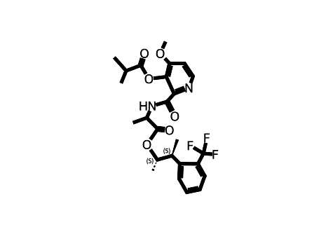 COc1ccnc(C(=O)NC(C)C(=O)O[C@@H](C)[C@@H](C)c2ccccc2C(F)(F)F)c1OC(=O)C(C)C